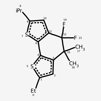 CCc1cc2c(s1)-c1sc(C(C)C)cc1C(F)(F)C2(C)C